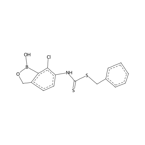 OB1OCc2ccc(NC(=S)SCc3ccccc3)c(Cl)c21